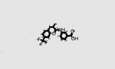 CC(Cc1ccc(C(F)(F)F)cc1)C(=O)Nc1cccc(C(=O)O)c1